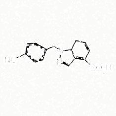 N#Cc1ccc(CN2N=CC3=C(C(=O)O)C=CCC32)cc1